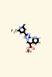 Cc1cc(-c2ncn(/C=C(/C(=O)OC(C)C)c3cccnc3)n2)cc(C(F)(F)F)n1